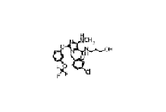 CNc1nc(Oc2cccc(OC(F)(F)F)c2)n(Cc2ccc(Cl)cc2)c1C(=O)NCCCO